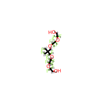 OCC(F)(F)OC(F)(F)C(F)(F)OCC(CF)(CF)C(F)(F)OC(F)(F)C(F)(F)OC(F)(F)CO